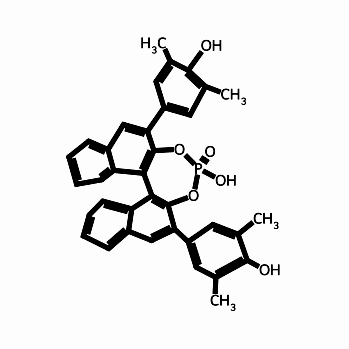 Cc1cc(-c2cc3ccccc3c3c2OP(=O)(O)Oc2c(-c4cc(C)c(O)c(C)c4)cc4ccccc4c2-3)cc(C)c1O